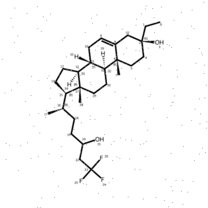 CC[C@]1(O)CC[C@@]2(C)C(=CC[C@H]3[C@@H]4CC[C@H]([C@H](C)CCC(O)CC(F)(F)F)[C@@]4(C)CC[C@@H]32)C1